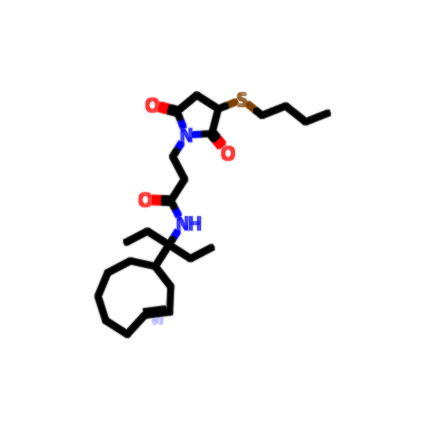 CCCCSC1CC(=O)N(CCC(=O)NC(CC)(CC)C2C/C=C/CCCCC2)C1=O